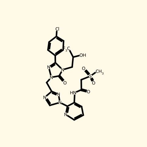 CS(=O)(=O)CC(=O)Nc1cccnc1-n1cnc(Cn2nc(-c3ccc(Cl)cc3)n(CC(O)C(F)(F)F)c2=O)n1